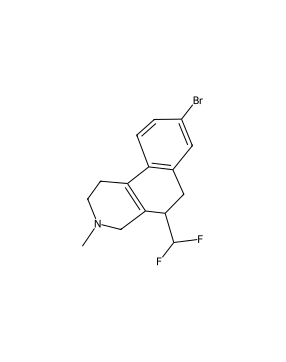 CN1CCC2=C(C1)C(C(F)F)Cc1cc(Br)ccc12